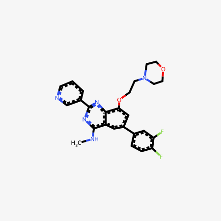 CNc1nc(-c2cccnc2)nc2c(OCCN3CCOCC3)cc(-c3ccc(F)c(F)c3)cc12